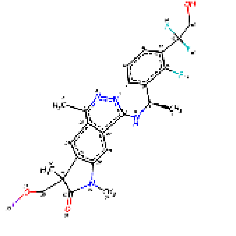 Cc1nnc(N[C@H](C)c2cccc(C(F)(F)CO)c2F)c2cc3c(cc12)C(C)(COI)C(=O)N3C